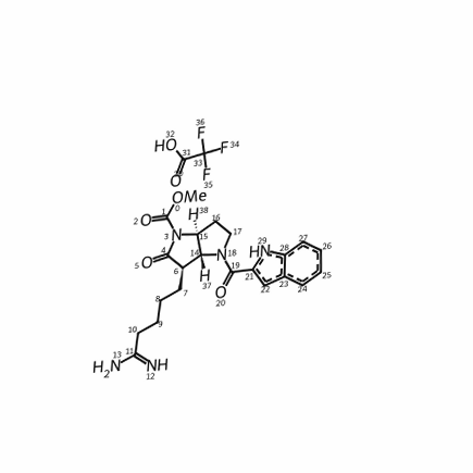 COC(=O)N1C(=O)[C@H](CCCCC(=N)N)[C@@H]2[C@@H]1CCN2C(=O)c1cc2ccccc2[nH]1.O=C(O)C(F)(F)F